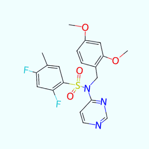 COc1ccc(CN(c2ccncn2)S(=O)(=O)c2cc(C)c(F)cc2F)c(OC)c1